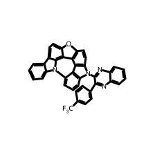 FC(F)(F)c1ccc(-c2nc3ccccc3nc2-n2c3ccc4oc5ccc6c7ccccc7n7c8cccc2c8c3c4c5c67)cc1